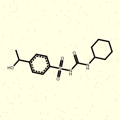 CC(O)c1ccc(S(=O)(=O)NC(=O)NC2CCCCC2)cc1